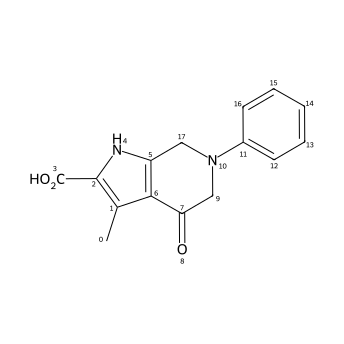 Cc1c(C(=O)O)[nH]c2c1C(=O)CN(c1ccccc1)C2